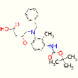 Cc1c(NC(=O)OC(C)(C)C)ccc2c1N(Cc1ccccc1)CC(CC(=O)O)O2